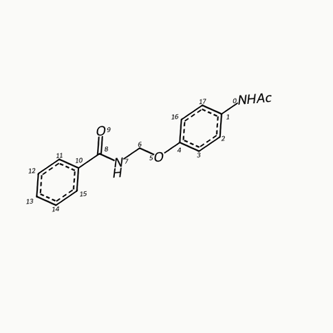 CC(=O)Nc1ccc(OCNC(=O)c2ccccc2)cc1